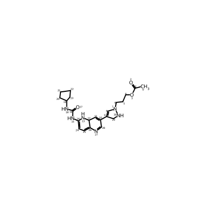 CC(=O)OCCCN1C=C(C2=CC3NC(NC(=O)NC4CCCC4)=CC=C3N=C2)CN1